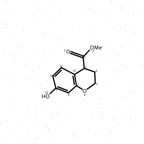 COC(=O)C1CCOc2cc(O)ccc21